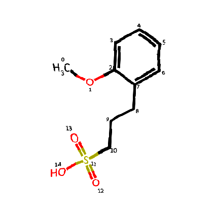 COc1ccccc1CCCS(=O)(=O)O